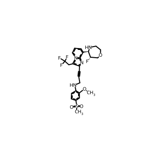 COc1cc(S(C)(=O)=O)ccc1NCC#Cc1nc2c([C@H]3NCCOC[C@@H]3F)cccn2c1CC(F)(F)F